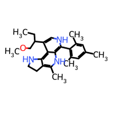 CCC(COC)C1=CNC(c2c(C)cc(C)cc2C)=C2NC(C)=C3CCNC3=C12